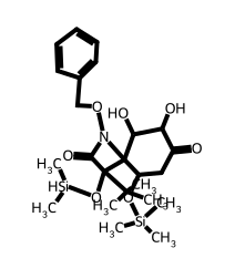 C[SiH](C)OC1(C(C)(C)C)C(=O)N(OCc2ccccc2)C12C(O[Si](C)(C)C)CC(=O)C(O)C2O